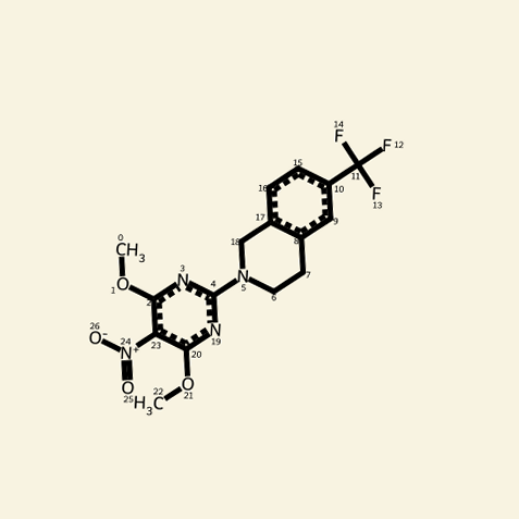 COc1nc(N2CCc3cc(C(F)(F)F)ccc3C2)nc(OC)c1[N+](=O)[O-]